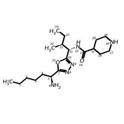 CCCCC[C@H](N)c1nnc([C@@H](NC(=O)C2CCNCC2)[C@@H](C)CC)o1